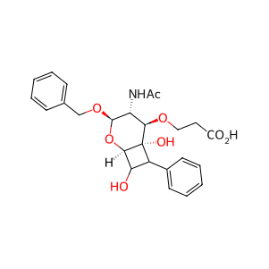 CC(=O)N[C@H]1[C@H](OCc2ccccc2)O[C@@H]2C(O)C(c3ccccc3)[C@]2(O)[C@@H]1OCCC(=O)O